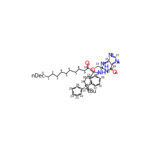 CCCCCCCCCCCCCCCCCCCC(=O)OCC1(NCCCC[Si](c2ccccc2)(c2ccccc2)C(C)(C)C)N=C2N=CN=C2C(=O)N1